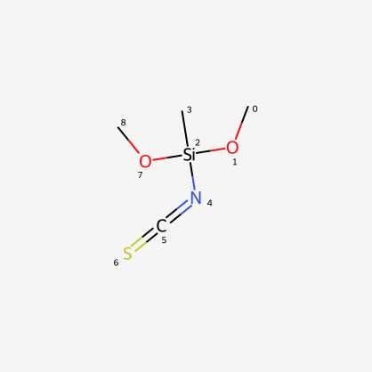 CO[Si](C)(N=C=S)OC